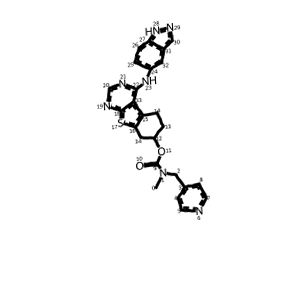 CN(Cc1ccncc1)C(=O)OC1CCc2c(sc3ncnc(Nc4ccc5[nH]ncc5c4)c23)C1